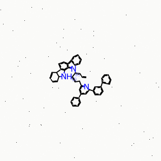 C=C/C=C(\C=C/Cc1cc(-c2ccccc2)cc(-c2cccc(-c3ccccc3)c2)n1)n1c2ccccc2c2ccc3c(c21)NC1C=CC=CC31